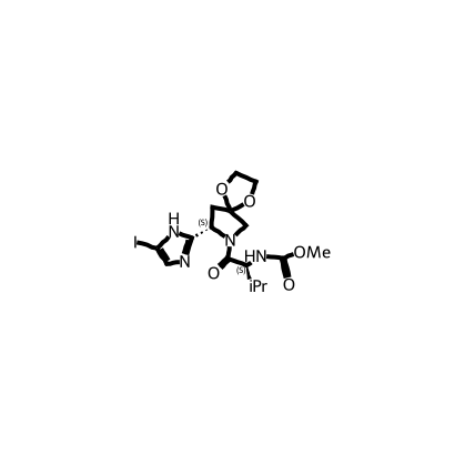 COC(=O)N[C@H](C(=O)N1CC2(C[C@H]1c1ncc(I)[nH]1)OCCO2)C(C)C